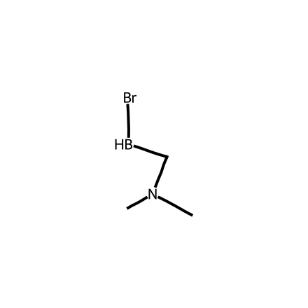 CN(C)CBBr